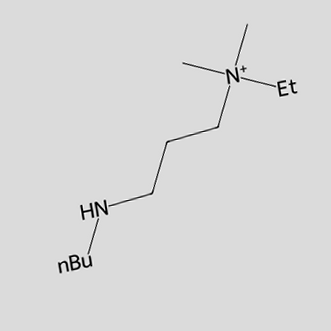 CCCCNCCC[N+](C)(C)CC